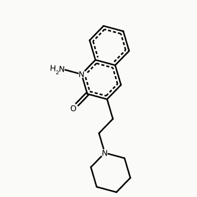 Nn1c(=O)c(CCN2CCCCC2)cc2ccccc21